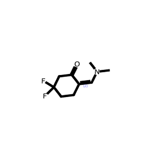 CN(C)/C=C1/CCC(F)(F)CC1=O